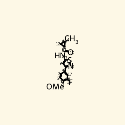 COc1ccc(-c2cc(NC(=O)[C@@H]3C[C@H]3C)sn2)cc1F